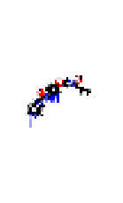 O=C(Nc1ccc(OC2CN(C(=O)CCC(F)(F)F)C2)cc1)N1C=C2C=CNC=C2C1